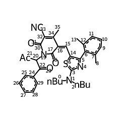 CCCCN(CCCC)c1nc(-c2c(C)cccc2C)c(/C=C2\C(=O)N(C(C(C)=O)C(=O)c3ccccc3)C(=O)C(C#N)=C2C)s1